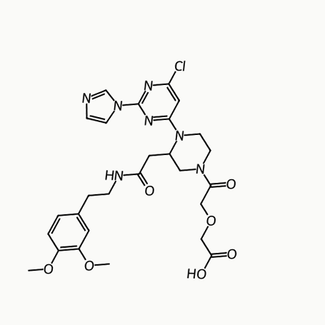 COc1ccc(CCNC(=O)CC2CN(C(=O)COCC(=O)O)CCN2c2cc(Cl)nc(-n3ccnc3)n2)cc1OC